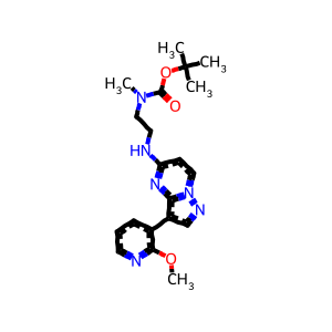 COc1ncccc1-c1cnn2ccc(NCCN(C)C(=O)OC(C)(C)C)nc12